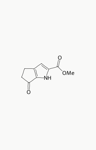 COC(=O)c1cc2c([nH]1)C(=O)CC2